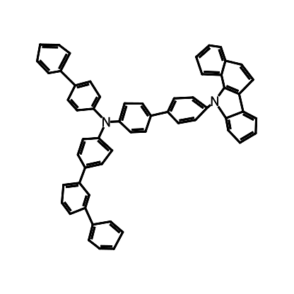 c1ccc(-c2ccc(N(c3ccc(-c4ccc(-n5c6ccccc6c6ccc7ccccc7c65)cc4)cc3)c3ccc(-c4cccc(-c5ccccc5)c4)cc3)cc2)cc1